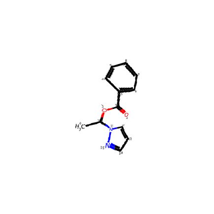 CC(OC(=O)c1ccccc1)n1cccn1